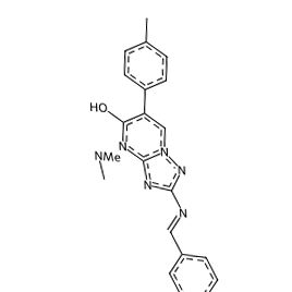 CNC.Cc1ccc(-c2cn3nc(N=Cc4ccccc4)nc3nc2O)cc1